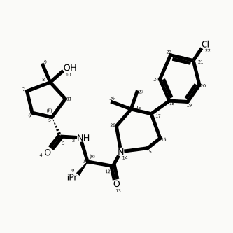 CC(C)[C@@H](NC(=O)[C@@H]1CCC(C)(O)C1)C(=O)N1CCC(c2ccc(Cl)cc2)C(C)(C)C1